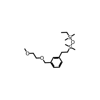 CC[Si](C)(C)O[Si](C)(C)CCc1cccc(COCCOC)c1